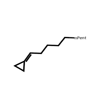 CCCCCCCCCC=C1CC1